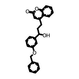 O=c1cc(CCC(O)c2cccc(OCc3ccccc3)c2)c2ccccc2o1